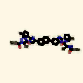 COC(=O)N[C@H](C(=O)N1C[C@@H]2CC[C@@]1(C1=NC(c3ccc4cc(-c5ccc6[nH]c([C@@]78CC[C@@H](CN7C(=O)[C@@H](NC(=O)OC)C(C)C)C8)nc6c5)ccc4c3)CN1)C2)C(C)C